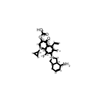 C=Cc1c(F)c(N2CC3CC=CC(N)C3C2)c(F)c2c1c(=O)c(OC(=O)O)cn2C1CC1